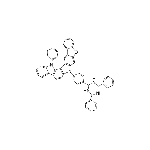 c1ccc(C2NC(c3ccccc3)NC(c3ccc(-n4c5cc6oc7ccccc7c6cc5c5c4ccc4c6ccccc6n(-c6ccccc6)c45)cc3)N2)cc1